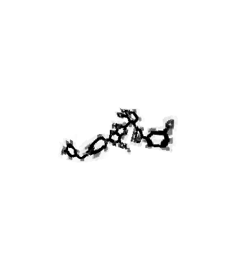 Cc1nc(N2CCN(Cc3cccc(F)c3)CC2)nc2[nH]c(-c3c(NCC(O)c4cccc(Cl)c4)cc[nH]c3=O)nc12